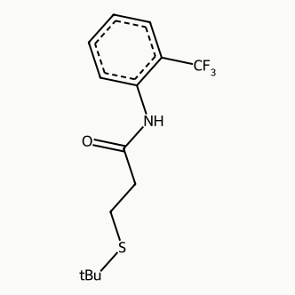 CC(C)(C)SCCC(=O)Nc1ccccc1C(F)(F)F